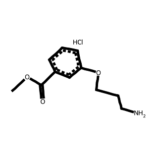 COC(=O)c1cccc(OCCCN)c1.Cl